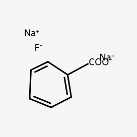 O=C([O-])c1ccccc1.[F-].[Na+].[Na+]